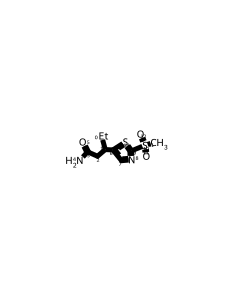 CCC(CC(N)=O)c1cnc(S(C)(=O)=O)s1